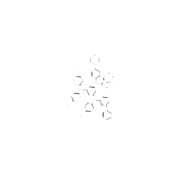 CC(C)(C)C1=CC=C(N(C2=CC=C(C(C)(C)C)CC2)c2cc(N(c3ccc(C(C)(C)C)cc3)c3cccc4c3oc3ccccc34)cc(N3c4ccc(C5CCCCC5)cc4C4(CCCCC4)C3(C)C)c2)CC1